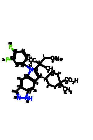 COCC(C)(C)c1c([C@H]2CC[C@](C)(C(=O)O)CC2)c2cc3[nH]ncc3cc2n1-c1ccc(F)c(F)c1